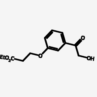 CCOC(=O)CCOc1cccc(C(=O)CO)c1